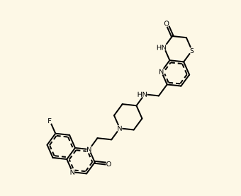 O=C1CSc2ccc(CNC3CCN(CCn4c(=O)cnc5ccc(F)cc54)CC3)nc2N1